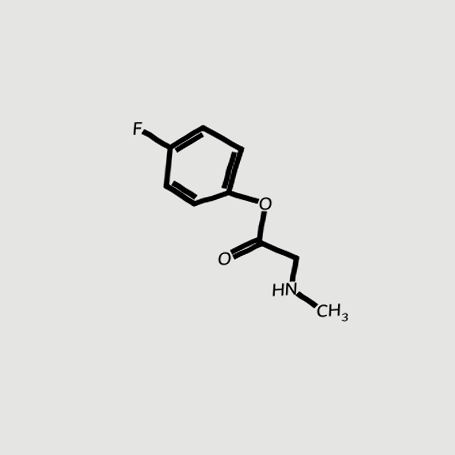 CNCC(=O)Oc1ccc(F)cc1